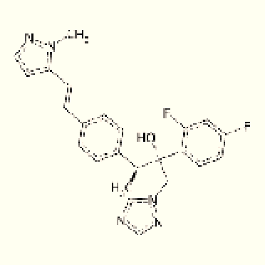 C[C@@H](c1ccc(/C=C/c2ccnn2C)cc1)[C@](O)(Cn1cncn1)c1ccc(F)cc1F